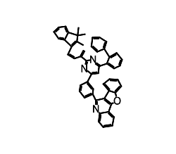 C=C(/C=C\C1=C(C)C(C)(C)c2ccccc21)c1nc(-c2cccc(-c3nc4ccccc4c4oc5ccccc5c34)c2)cc(-c2ccccc2-c2ccccc2)n1